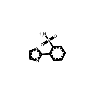 NS(=O)(=O)c1ccccc1-c1nccs1